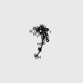 CC(=O)O[C@H]1C(=O)[C@@]2(C)[C@H]([C@H](OC(=O)c3ccccc3)[C@]3(O)C[C@H](OC(=O)[C@H](OC(=O)COCC(=O)NCCCc4cn(CCCCCC(=O)O)nn4)[C@@H](NC(=O)c4ccccc4)C4C=CC=CC4)C(C)=C1C3(C)C)[C@]1(OC(C)=O)CO[C@@H]1C[C@@H]2O